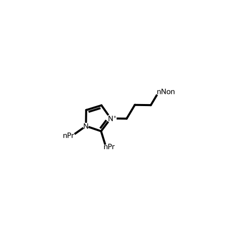 CCCCCCCCCCCC[n+]1ccn(CCC)c1CCC